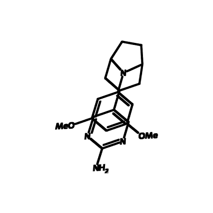 COc1cc(OC)cc(N2C3CCC2CC(c2cnc(N)nc2)C3)c1